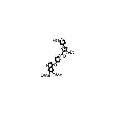 CCOc1cn(-c2ccnc(O)c2)nc1C(=O)Nc1ccc(Oc2ccnc3cc(OC)c(OC)cc23)cn1